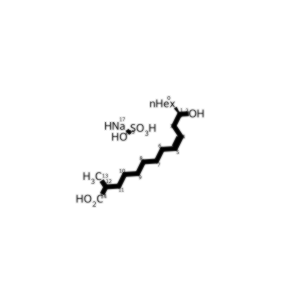 CCCCCC[C@@H](O)C/C=C\CCCCCCC(C)C(=O)O.O=S(=O)(O)O.[NaH]